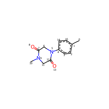 Cc1ccc(N2CC(=O)N(C)CC2=O)cc1